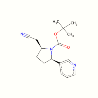 CC(C)(C)OC(=O)N1[C@H](CC#N)CC[C@@H]1c1cccnc1